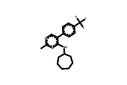 Cc1ncc(-c2ccc(C(F)(F)F)cc2)c(NC2CCCCCC2)n1